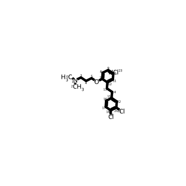 CN(C)CCCOc1ccccc1CCc1ccc(Cl)c(Cl)c1.Cl